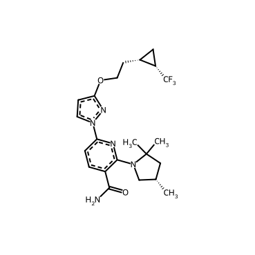 C[C@@H]1CN(c2nc(-n3ccc(OCC[C@@H]4C[C@@H]4C(F)(F)F)n3)ccc2C(N)=O)C(C)(C)C1